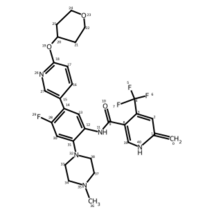 C=C1C=C(C(F)(F)F)C(C(=O)Nc2cc(-c3ccc(OC4CCOCC4)nc3)c(F)cc2N2CCN(C)CC2)=CN1